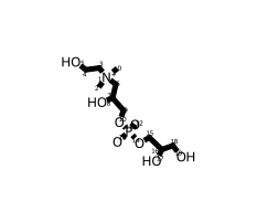 C[N+](C)(CCO)CC(O)COP(=O)([O-])OCC(O)CO